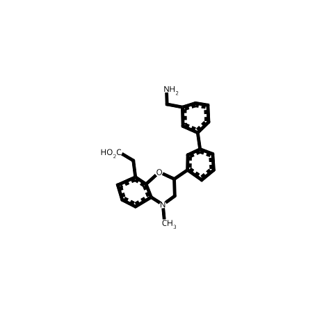 CN1CC(c2cccc(-c3cccc(CN)c3)c2)Oc2c(CC(=O)O)cccc21